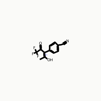 C/C(O)=C(\C(=O)C(F)(F)F)c1ccc(C#N)cc1